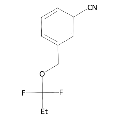 CCC(F)(F)OCc1cccc(C#N)c1